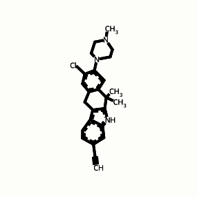 C#Cc1ccc2c3c([nH]c2c1)C(C)(C)c1cc(N2CCN(C)CC2)c(Cl)cc1C3